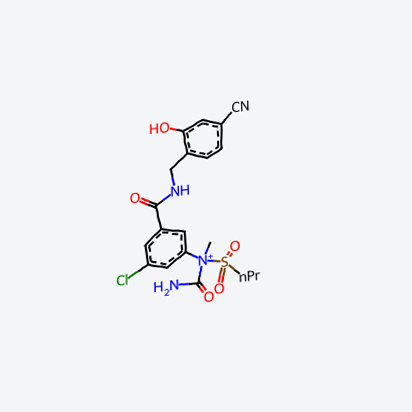 CCCS(=O)(=O)[N+](C)(C(N)=O)c1cc(Cl)cc(C(=O)NCc2ccc(C#N)cc2O)c1